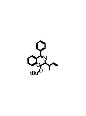 C=CC(C)C(N=C(c1ccccc1)c1ccccc1)C(=O)OC(C)(C)C